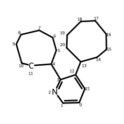 c1cnc(C2CCCCCCC2)c(C2CCCCCCC2)c1